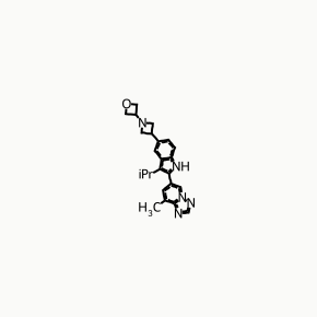 Cc1cc(-c2[nH]c3ccc(C4CN(C5COC5)C4)cc3c2C(C)C)cn2ncnc12